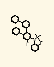 CC(C)(C)N(c1ccccc1F)c1cc(-c2cccc(-c3ccccc3)c2)c(-c2ccccc2)cc1F